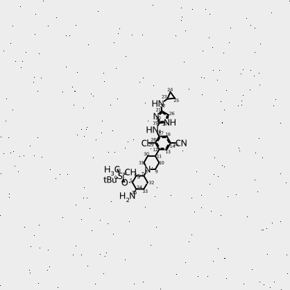 CC(C)(C)[Si](C)(C)O[C@@H]1CC(N2CCC(c3cc(C#N)cc(Nc4nc(NC5CC5)c[nH]4)c3Cl)CC2)CC[C@H]1N